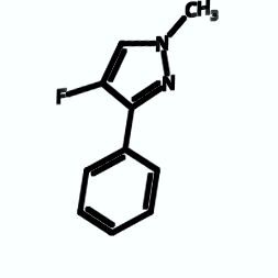 Cn1cc(F)c(-c2ccccc2)n1